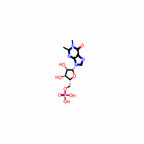 Cc1nc2c(ncn2[C@@H]2O[C@H](COP(=O)(O)O)[C@@H](O)[C@H]2O)c(=O)n1C